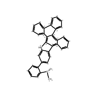 C[S+]([O-])c1ccccc1-c1ccc2c(c1)[nH]c1c2c2ccccc2c2c3ccccc3c3ccccc3c12